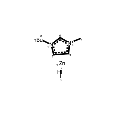 CCCCn1cc[n+](C)c1.I.[I-].[Zn]